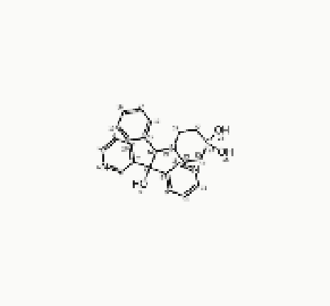 OC(c1cccnc1)(c1cccnc1)C(c1ccccc1)N1CCS(O)(O)CC1